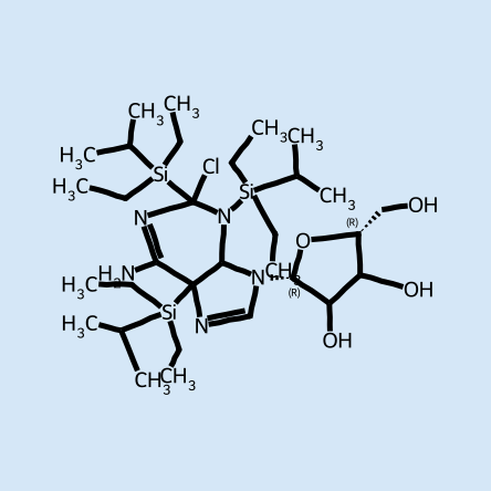 CC[Si](CC)(C(C)C)N1C2N([C@@H]3O[C@H](CO)C(O)C3O)C=NC2([Si](CC)(CC)C(C)C)C(N)=NC1(Cl)[Si](CC)(CC)C(C)C